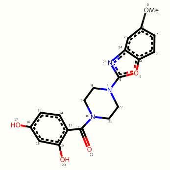 COc1ccc2oc(N3CCN(C(=O)c4ccc(O)cc4O)CC3)nc2c1